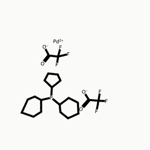 C1CCC(P(C2CCCCC2)C2CCCC2)CC1.O=C([O-])C(F)(F)F.O=C([O-])C(F)(F)F.[Pd+2]